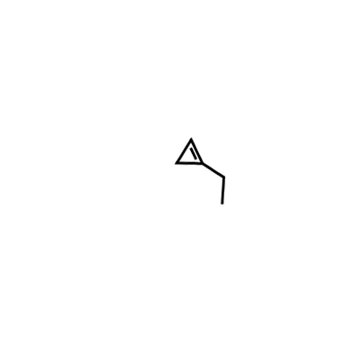 CCC1=CC1